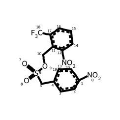 O=[N+]([O-])c1ccc(CS(=O)(=O)OCc2c([N+](=O)[O-])cccc2C(F)(F)F)cc1